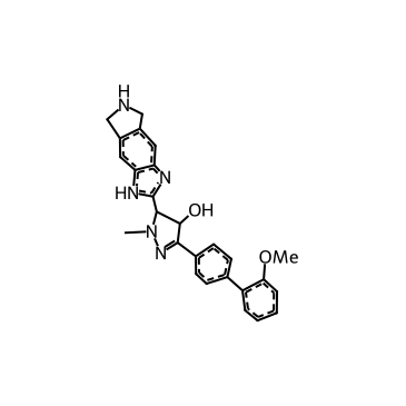 COc1ccccc1-c1ccc(C2=NN(C)C(c3nc4cc5c(cc4[nH]3)CNC5)C2O)cc1